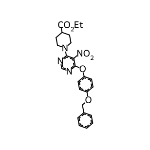 CCOC(=O)C1CCN(c2ncnc(Oc3ccc(OCc4ccccc4)cc3)c2[N+](=O)[O-])CC1